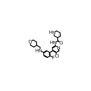 O=C(Nc1cc(-c2cc(NCC3CCOCC3)ccc2F)c(Cl)cn1)C1CCCNC1